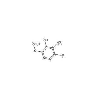 CCCc1ccc(OC(=O)O)c(O)c1[N+](=O)[O-]